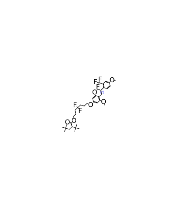 COc1ccc(/C(C=O)=C/c2ccc(OCCCC(F)(F)CCCOC(=O)C(CC(C)(C)C)C(C)(C)C)cc2OC)c(C(F)(F)F)c1